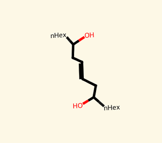 CCCCCCC(O)CC=CCC(O)CCCCCC